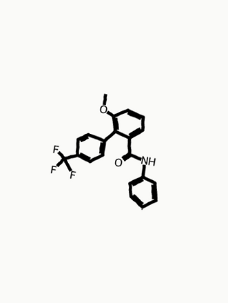 COc1cccc(C(=O)Nc2cc[c]cc2)c1-c1ccc(C(F)(F)F)cc1